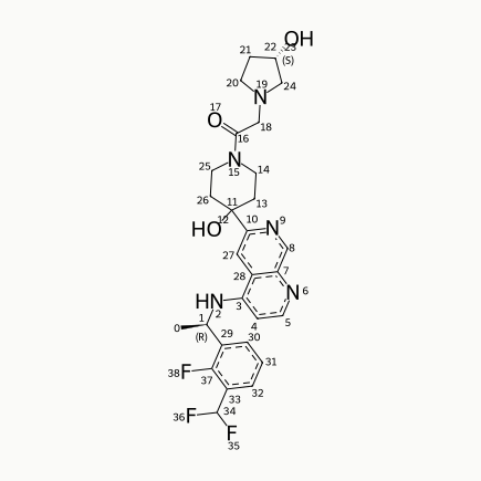 C[C@@H](Nc1ccnc2cnc(C3(O)CCN(C(=O)CN4CC[C@H](O)C4)CC3)cc12)c1cccc(C(F)F)c1F